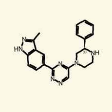 Cc1n[nH]c2ccc(-c3nncc(N4CCN[C@H](c5ccccc5)C4)n3)cc12